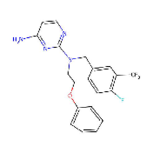 Nc1ccnc(N(CCOc2ccccc2)Cc2ccc(F)c(C(F)(F)F)c2)n1